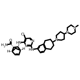 CN1CCN(C2CCN(C3CCc4ccc(Nc5ncc(Cl)c(N[C@H]6[C@@H](C(N)=O)[C@@H]7C=C[C@H]6C7)n5)cc4CC3)CC2)CC1